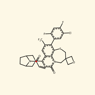 C=CC(=O)N1C2CCC1CN(c1nc(=O)n3c4c(c(-c5cc(Cl)c(F)cc5F)c(C(F)(F)F)cc14)SCC1(COC1)C3)C2